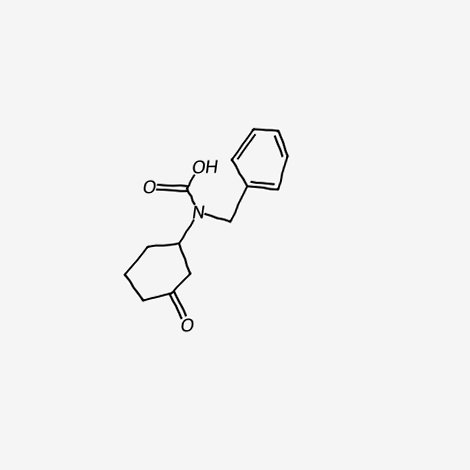 O=C1CCCC(N(Cc2ccccc2)C(=O)O)C1